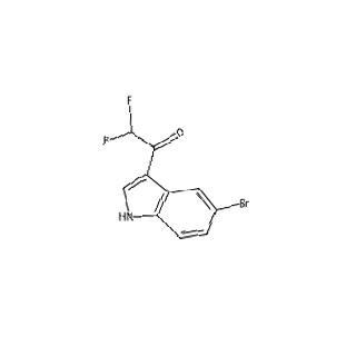 O=C(c1c[nH]c2ccc(Br)cc12)C(F)F